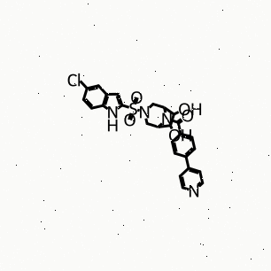 O=C(c1ccc(-c2ccncc2)cc1)N1C2CN(S(=O)(=O)c3cc4cc(Cl)ccc4[nH]3)CC1C(O)C2O